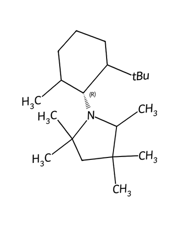 CC1CCCC(C(C)(C)C)[C@@H]1N1C(C)C(C)(C)CC1(C)C